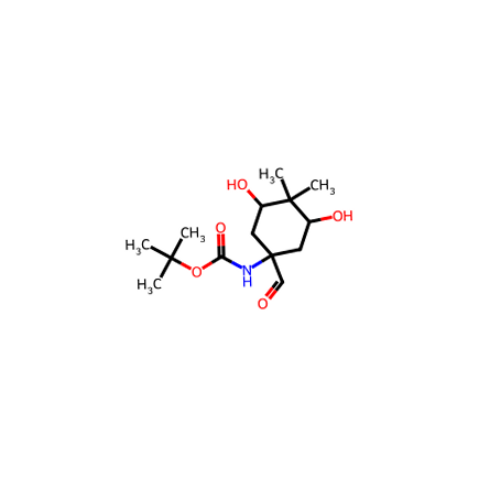 CC(C)(C)OC(=O)NC1(C=O)CC(O)C(C)(C)C(O)C1